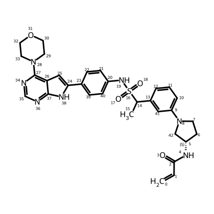 C=CC(=O)N[C@H]1CCN(c2cccc(C(C)S(=O)(=O)Nc3ccc(-c4cc5c(N6CCOCC6)ncnc5[nH]4)cc3)c2)C1